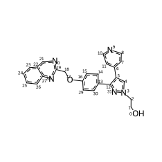 OCCn1cc(-c2ccncc2)c(-c2ccc(OCc3ncc4ccccc4n3)cc2)n1